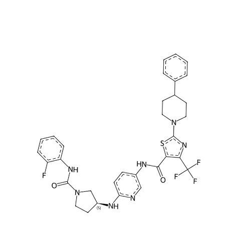 O=C(Nc1ccc(N[C@H]2CCN(C(=O)Nc3ccccc3F)C2)nc1)c1sc(N2CCC(c3ccccc3)CC2)nc1C(F)(F)F